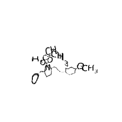 CO[C@H]1CC[C@H](CCC23CCC(C=O)(CC2)N3C(=O)OC(C)(C)C)CC1